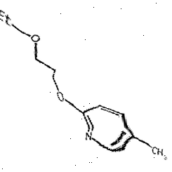 CCOCCOc1ccc(C)cn1